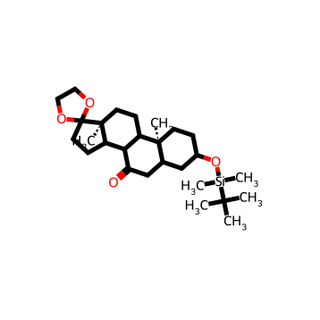 CC(C)(C)[Si](C)(C)OC1CC[C@@]2(C)C(CC(=O)C3C2CC[C@@]2(C)C3CCC23OCCO3)C1